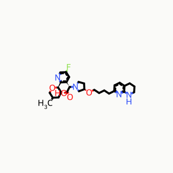 CC1CC[C@H](c2ncc(F)cc2[C@@H](C(=O)O)N2CC[C@@H](OCCCCc3ccc4c(n3)NCCC4)C2)OC1